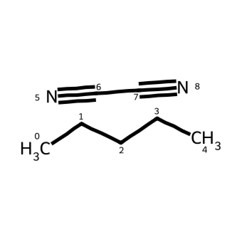 CCCCC.N#CC#N